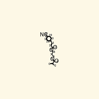 C=C(C)C(=O)OCCCOC(=O)/C=C/c1ccc(C#N)cc1